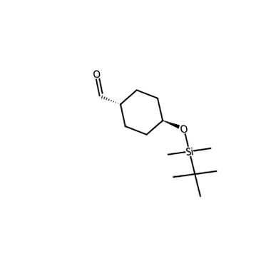 CC(C)(C)[Si](C)(C)O[C@H]1CC[C@H](C=O)CC1